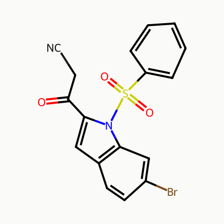 N#CCC(=O)c1cc2ccc(Br)cc2n1S(=O)(=O)c1ccccc1